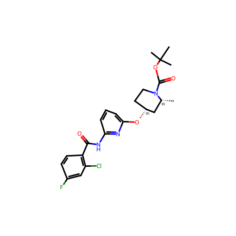 C[C@@H]1C[C@H](Oc2cccc(NC(=O)c3ccc(F)cc3Cl)n2)CCN1C(=O)OC(C)(C)C